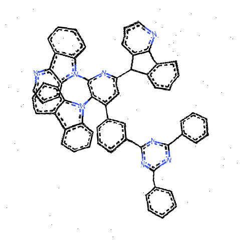 c1ccc(-c2nc(-c3ccccc3)nc(-c3cccc(-c4cc(C5c6ccccc6-c6ncccc65)nc(-n5c6ccccc6c6ncccc65)c4-n4c5ccccc5c5ccccc54)c3)n2)cc1